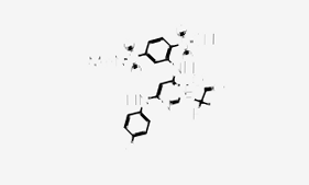 CNS(=O)(=O)c1ccc(S(C)(=O)=O)c(Nc2cc(Nc3ccc(Cl)cc3)ncn2)c1.O=C(O)C(F)(F)F